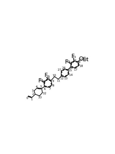 C=CC1CC=C(c2ccc(CCc3ccc(-c4ccc(OCC)c(F)c4F)cc3)c(F)c2F)CC1